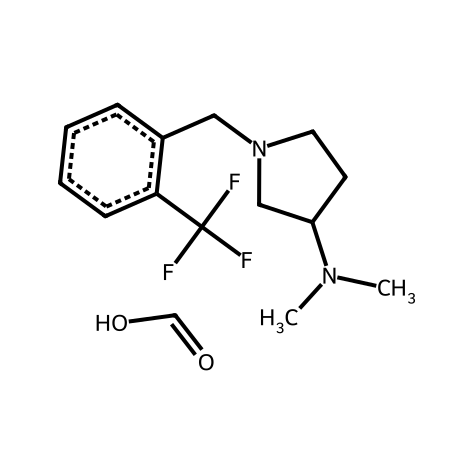 CN(C)C1CCN(Cc2ccccc2C(F)(F)F)C1.O=CO